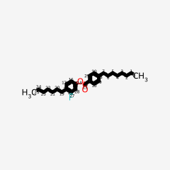 CCCCCCCCc1ccc(C(=O)Oc2ccc(CCCCCCC)c(F)c2)cc1